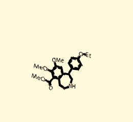 CCOc1ccc(C2CNCCc3c2cc(OC)c(OC)c3C(=O)OC)cc1